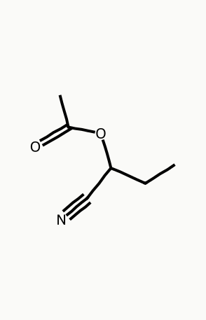 CCC(C#N)OC(C)=O